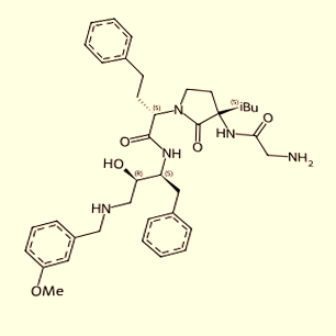 CC[C@H](C)C1(NC(=O)CN)CCN([C@@H](CCc2ccccc2)C(=O)N[C@@H](Cc2ccccc2)[C@H](O)CNCc2cccc(OC)c2)C1=O